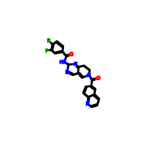 O=C(NC1N=CC2=CN(C(=O)c3ccc4ncccc4c3)CCC2=N1)c1ccc(F)c(F)c1